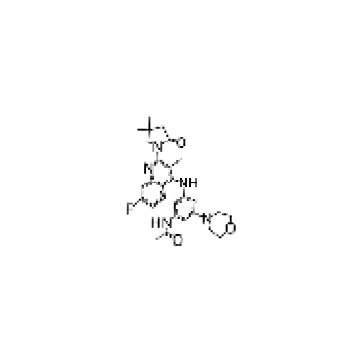 CC(=O)Nc1cc(Nc2c(C)c(N3CC(C)(C)CC3=O)nc3cc(F)ccc23)cc(N2CCOCC2)c1